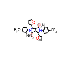 O=C1C2=C(c3ccco3)N(c3ccc(C(F)(F)F)cc3[N+](=O)[O-])C(=O)C2=C(c2ccco2)N1c1ccc(C(F)(F)F)cc1[N+](=O)[O-]